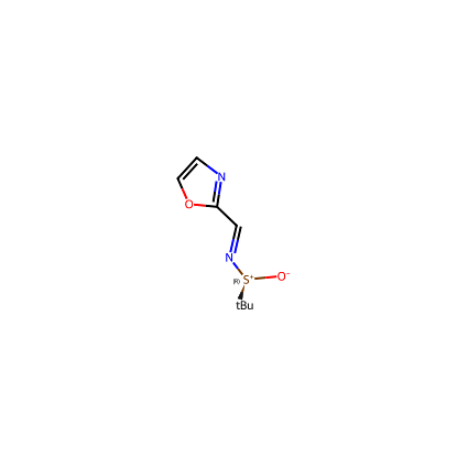 CC(C)(C)[S@+]([O-])N=Cc1ncco1